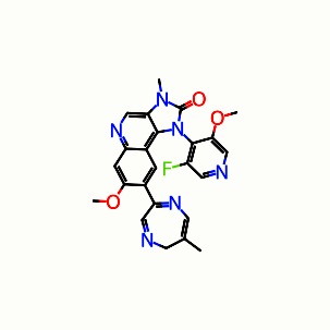 COc1cc2ncc3c(c2cc1C1=NC=C(C)CN=C1)n(-c1c(F)cncc1OC)c(=O)n3C